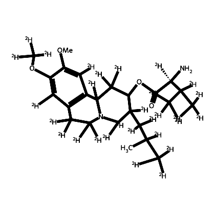 [2H]c1c(OC([2H])([2H])[2H])c(OC)c([2H])c2c1C([2H])([2H])C([2H])([2H])N1C([2H])([2H])C([2H])(C([2H])([2H])C([2H])(C)C([2H])([2H])[2H])C(OC(=O)[C@@]([2H])(N)C([2H])(C([2H])([2H])[2H])C([2H])([2H])[2H])C([2H])([2H])C21[2H]